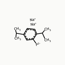 CC(C)c1ccc(C(C)C)c([P-2])c1.[Na+].[Na+]